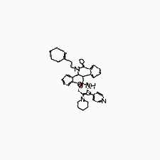 O=C(NCc1ccncc1)C1c2ccccc2C(=O)N(CCC2=CCCCC2)C1c1ccccc1OCC(=O)N1CCCCC1